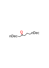 CCCCCCCCCCCCCC(=O)CCCCCCCCCCC